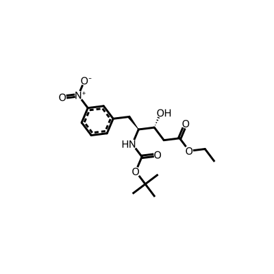 CCOC(=O)C[C@@H](O)[C@H](Cc1cccc([N+](=O)[O-])c1)NC(=O)OC(C)(C)C